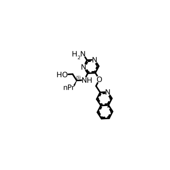 CCC[C@@H](CO)Nc1nc(N)ncc1OCc1cc2ccccc2cn1